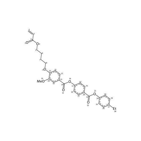 C=CC(=O)OCCCCOc1ccc(C(=O)Oc2ccc(C(=O)Oc3ccc(CC)cc3)cc2)cc1OC